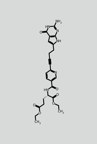 CCOC(=O)CC[C@H](NC(=O)c1ccc(C#CCCc2cc3c(=O)[nH]c(N)nc3[nH]2)nc1)C(=O)OCC